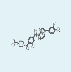 COc1ccc(-c2cnc3c(Nc4ccc(C(=O)N5CCN(C(C)=O)CC5)c(Cl)c4)nccn23)cc1F